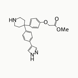 COC(=O)COc1ccc(C2(c3ccc(-c4cn[nH]c4)cc3)CCNCC2)cc1